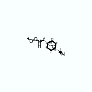 COONC[C@]12CC[C@](C#N)(CC1)CC2